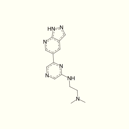 CN(C)CCNc1cncc(-c2cnc3[nH]ncc3c2)n1